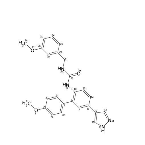 COc1ccc(-c2cc(-c3cn[nH]c3)ccc2NC(=O)NCc2cccc(OC)c2)cc1